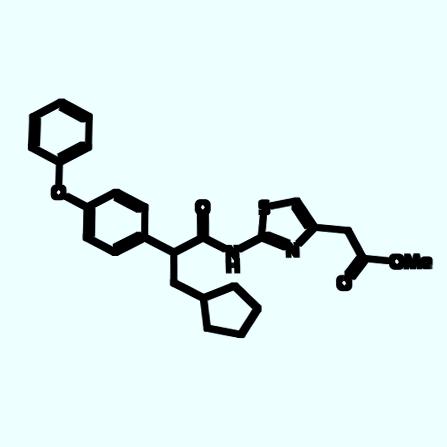 COC(=O)Cc1csc(NC(=O)C(CC2CCCC2)c2ccc(Oc3ccccc3)cc2)n1